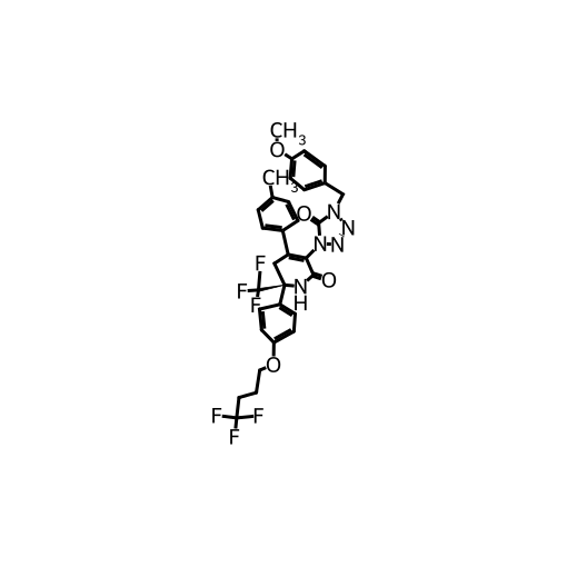 COc1ccc(Cn2nnn(C3=C(c4ccc(C)cc4)C[C@](c4ccc(OCCCC(F)(F)F)cc4)(C(F)(F)F)NC3=O)c2=O)cc1